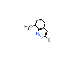 CC1CCCc2cc(Cl)nnc21